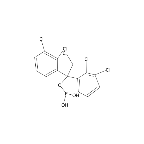 OP(O)OC(CCl)(c1cccc(Cl)c1Cl)c1cccc(Cl)c1Cl